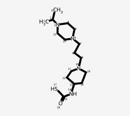 CC(C)N1CCN(CCCN2CCC(NC(=O)S)CC2)CC1